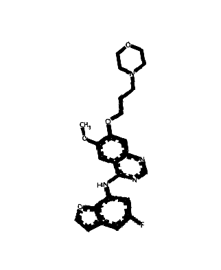 COc1cc2c(Nc3cc(F)cc4ccoc34)ncnc2cc1OCCCN1CCOCC1